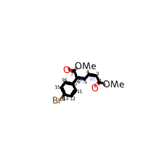 COC(=O)/C=C\C=C(/C(=O)OC)c1ccc(Br)cc1